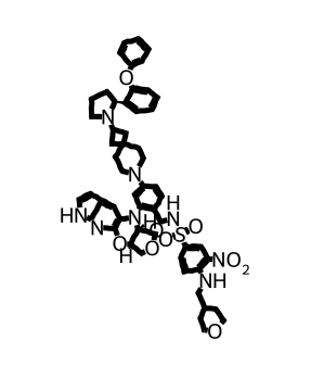 O=C(NS(=O)(=O)c1ccc(NCC2CCOCC2)c([N+](=O)[O-])c1)c1ccc(N2CCC3(CC2)CC(N2CCC[C@H]2c2ccccc2Oc2ccccc2)C3)cc1N1c2cc3cc[nH]c3nc2O[C@@H]2COC[C@H]21